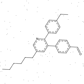 CCCCCCc1cnc(-c2ccc(CC)cc2)c(-c2ccc(C=O)cc2)c1